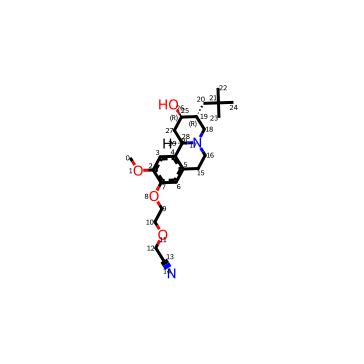 COc1cc2c(cc1OCCOCC#N)CCN1C[C@@H](CC(C)(C)C)[C@H](O)C[C@H]21